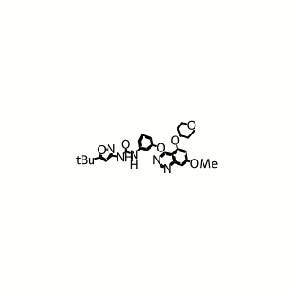 COc1cc(OC2CCOCC2)c2c(Oc3cccc(NC(=O)Nc4cc(C(C)(C)C)on4)c3)ncnc2c1